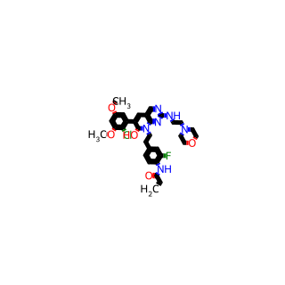 C=CC(=O)Nc1ccc(CCN2c3nc(NCCN4CCOCC4)ncc3C=C(c3cc(OC)cc(OC)c3Cl)C2O)cc1F